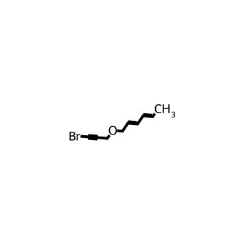 C/C=C/C=C/COCC#CBr